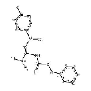 Cc1ccc([S+]([O-])C=C(NC(=O)OCc2ccccc2)C(F)F)cc1